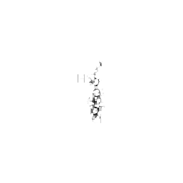 C=CCCC[SiH]1CCC(C2CCC(OC(=O)c3ccc(Cl)cc3F)CC2)CC1